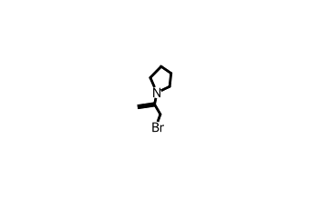 C=C(CBr)N1CCCC1